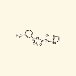 Cc1cccc([C@H](C)NC(=O)/C(C#N)=C/c2ncc[nH]2)c1